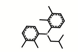 Cc1cccc(P(CC(C)C)c2cccc(C)c2C)c1C